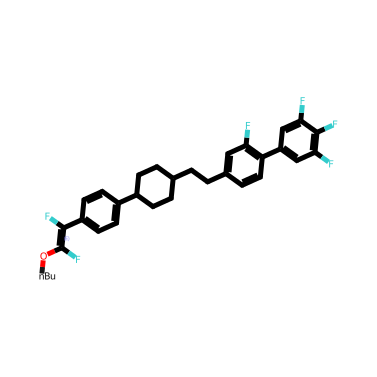 CCCCO/C(F)=C(\F)c1ccc(C2CCC(CCc3ccc(-c4cc(F)c(F)c(F)c4)c(F)c3)CC2)cc1